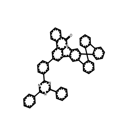 O=c1c2ccccc2c2cc(-c3cccc(-c4nc(-c5ccccc5)nc(-c5ccccc5)n4)c3)cc3c4cc5c(cc4n1c23)C1(c2ccccc2-c2ccccc21)c1ccccc1-5